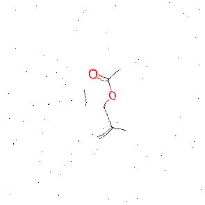 C=C(C)COC(C)=O.CC